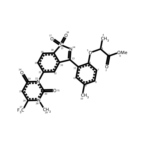 COC(=O)C(C)Oc1ccc(C)cc1C1=NS(=O)(=O)c2ccc(-n3c(=O)cc(C(F)(F)F)n(C)c3=O)cc21